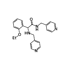 CCOc1ccccc1C(NCc1ccncc1)C(=O)NCc1ccncc1